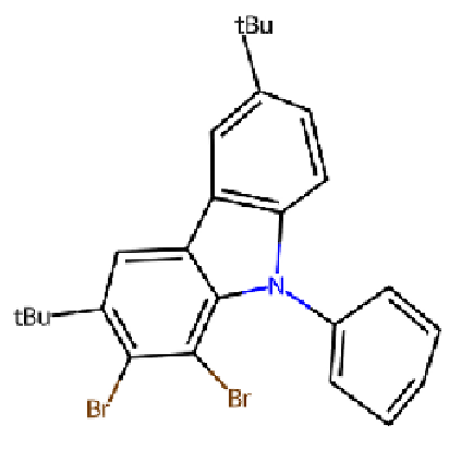 CC(C)(C)c1ccc2c(c1)c1cc(C(C)(C)C)c(Br)c(Br)c1n2-c1ccccc1